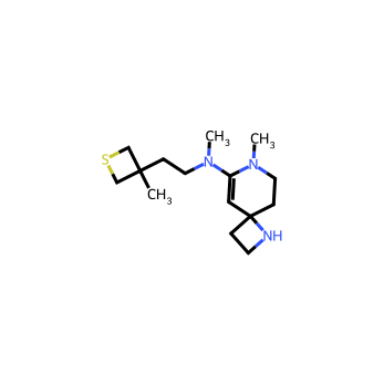 CN(CCC1(C)CSC1)C1=CC2(CCN2)CCN1C